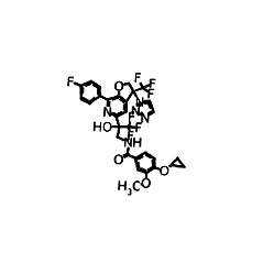 COc1cc(C(=O)NCC(O)(c2cc3c(c(-c4ccc(F)cc4)n2)OC[C@@]3(n2ccnn2)C(F)(F)F)C(F)(F)F)ccc1OC1CC1